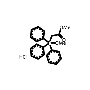 COC(=O)CP(OC)(c1ccccc1)(c1ccccc1)c1ccccc1.Cl